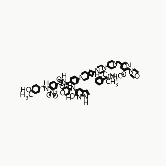 COc1cc(CN2CCC(N3CCN(C4CC5(CCN(c6ccc(C(=O)NS(=O)(=O)c7ccc(NC[C@H]8CC[C@](C)(O)CC8)c([N+](=O)[O-])c7)c(N7c8cc9cc[nH]c9nc8O[C@H]8COCC[C@@H]87)c6)CC5)C4)[C@H](c4ccccc4C(C)(C)O)C3)CC2)cnc1N1CCOCC1